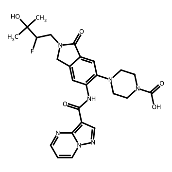 CC(C)(O)C(F)CN1Cc2cc(NC(=O)c3cnn4cccnc34)c(N3CCN(C(=O)O)CC3)cc2C1=O